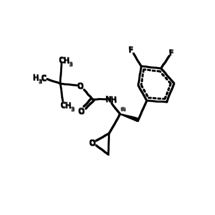 CC(C)(C)OC(=O)N[C@@H](Cc1ccc(F)c(F)c1)C1CO1